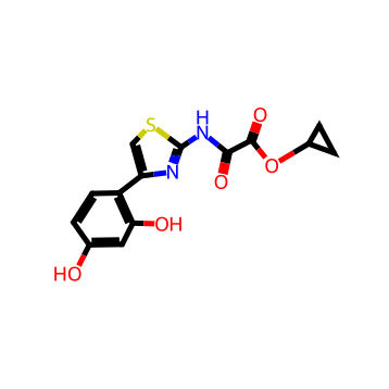 O=C(Nc1nc(-c2ccc(O)cc2O)cs1)C(=O)OC1CC1